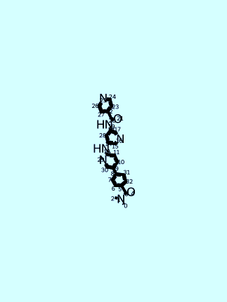 CN(C)C(=O)c1ccc(-c2ccc(Nc3cncc(NC(=O)c4ccncc4)c3)nc2)cc1